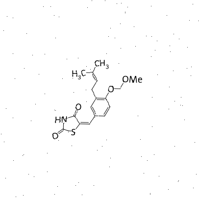 COCOc1ccc(/C=C2/SC(=O)NC2=O)cc1CC=C(C)C